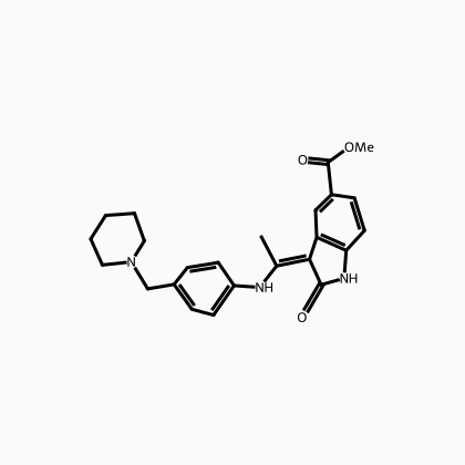 COC(=O)c1ccc2c(c1)/C(=C(\C)Nc1ccc(CN3CCCCC3)cc1)C(=O)N2